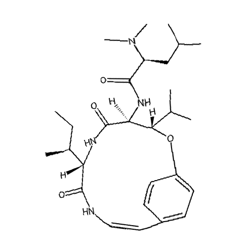 CC[C@H](C)[C@@H]1NC(=O)[C@@H](NC(=O)[C@H](CC(C)C)N(C)C)[C@H](C(C)C)Oc2ccc(cc2)/C=C\NC1=O